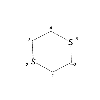 [C]1CSCCS1